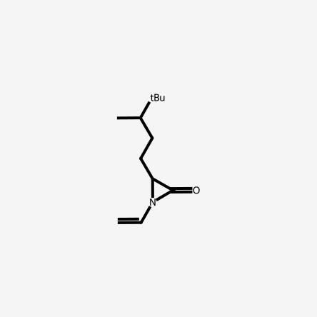 C=CN1C(=O)C1CCC(C)C(C)(C)C